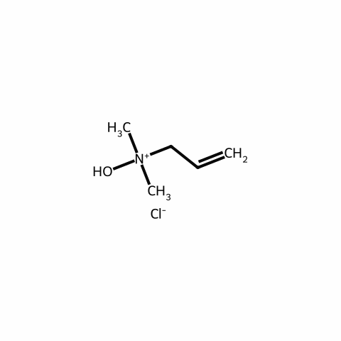 C=CC[N+](C)(C)O.[Cl-]